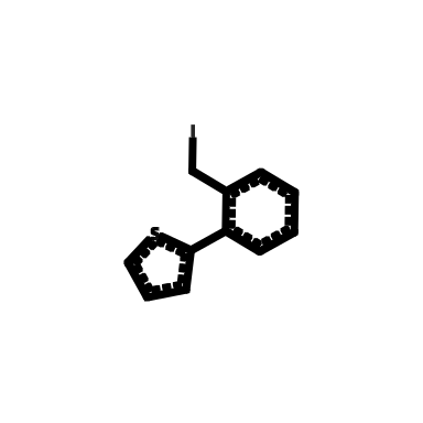 ICc1ccccc1-c1cccs1